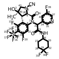 C[C@@]1(O)C[C@H](C(=O)N(c2cc(F)c(S(F)(F)(F)(F)F)c(F)c2)C(C(=O)NC2CCC(F)(F)CC2)c2cncc(F)c2)N(C#N)C1